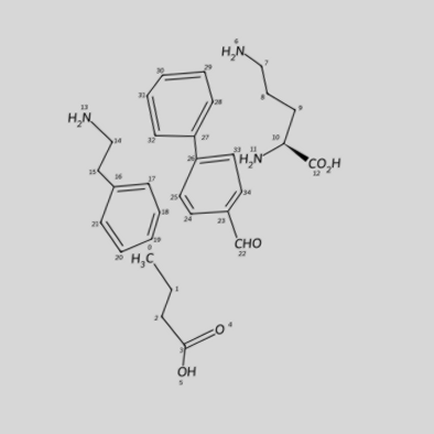 CCCC(=O)O.NCCC[C@H](N)C(=O)O.NCCc1ccccc1.O=Cc1ccc(-c2ccccc2)cc1